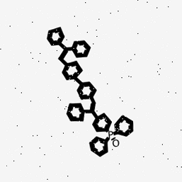 O=P(c1ccccc1)(c1ccccc1)c1ccc(/C(=C/c2ccc(-c3ccc(C=C(c4ccccc4)c4ccccc4)cc3)cc2)c2ccccc2)cc1